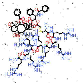 CC(=O)O[C@H]1C(=O)[C@@]2(C)[C@H]([C@H](OC(=O)c3ccccc3)[C@]3(O)C[C@H](OC(=O)[C@H](OC(=O)CSC[C@H](N)C(=O)N[C@H](CCCNC(=N)N)C(=O)N[C@H](CCCNC(=N)N)C(=O)N[C@H](CCCNC(=N)N)C(=O)N[C@H](CCCNC(=N)N)C(=O)N[C@H](CCCNC(=N)N)C(=O)N[C@H](CCCNC(=N)N)C(=O)N[C@H](CCCNC(=N)N)C(N)=O)[C@@H](NC(=O)c4ccccc4)c4ccccc4)C(C)=C1C3(C)C)[C@]1(OC(C)=O)CO[C@@H]1C[C@@H]2O